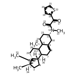 C[C@H]1[C@H]2CC[C@H]3[C@@H]4CC=C5C[C@@H](N(C)C(=O)C(=O)c6cccs6)CC[C@]5(C)C4CC[C@]23CN1C